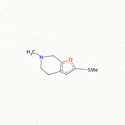 CSc1cc2c(o1)CN(C)CC2